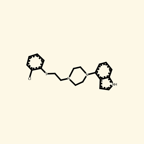 Clc1ccccc1SCCN1CCN(c2cccc3[nH]ccc23)CC1